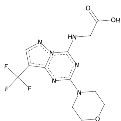 O=C(O)CNc1nc(N2CCOCC2)nc2c(C(F)(F)F)cnn12